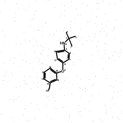 CC(C)(C)Nc1ccc(Oc2cccc(F)c2)cc1